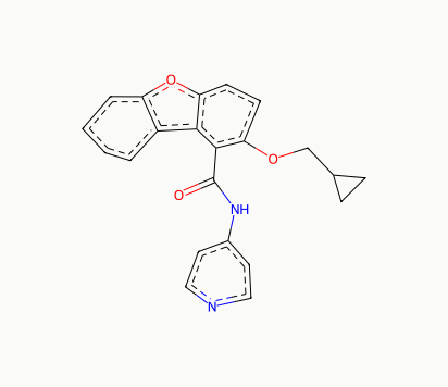 O=C(Nc1ccncc1)c1c(OCC2CC2)ccc2oc3ccccc3c12